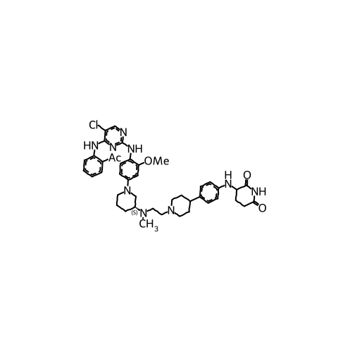 COc1cc(N2CCC[C@H](N(C)CCN3CCC(c4ccc(NC5CCC(=O)NC5=O)cc4)CC3)C2)ccc1Nc1ncc(Cl)c(Nc2ccccc2C(C)=O)n1